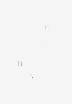 [O-][S+]1C=CN=NC1